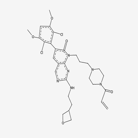 C=CC(=O)N1CCN(CCCn2c(=O)c(-c3c(Cl)c(OC)cc(OC)c3Cl)cc3cnc(NCCC4COC4)nc32)CC1